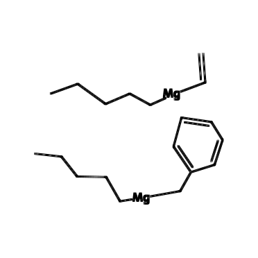 C=[CH][Mg][CH2]CCCC.CCCC[CH2][Mg][CH2]c1ccccc1